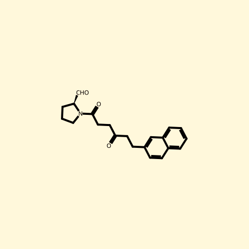 O=C[C@@H]1CCCN1C(=O)CCC(=O)CCc1ccc2ccccc2c1